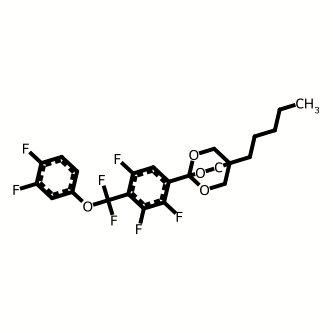 CCCCCC12COC(c3cc(F)c(C(F)(F)Oc4ccc(F)c(F)c4)c(F)c3F)(OC1)OC2